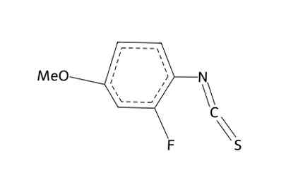 COc1ccc(N=C=S)c(F)c1